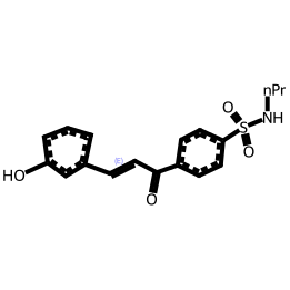 CCCNS(=O)(=O)c1ccc(C(=O)/C=C/c2cccc(O)c2)cc1